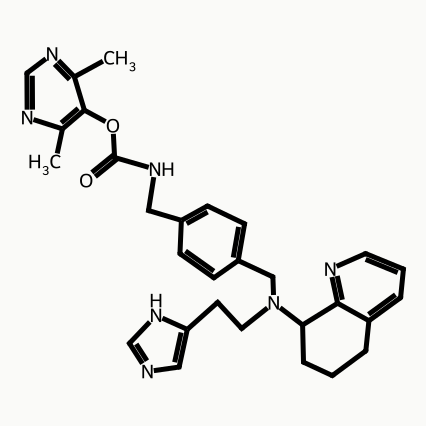 Cc1ncnc(C)c1OC(=O)NCc1ccc(CN(CCc2cnc[nH]2)C2CCCc3cccnc32)cc1